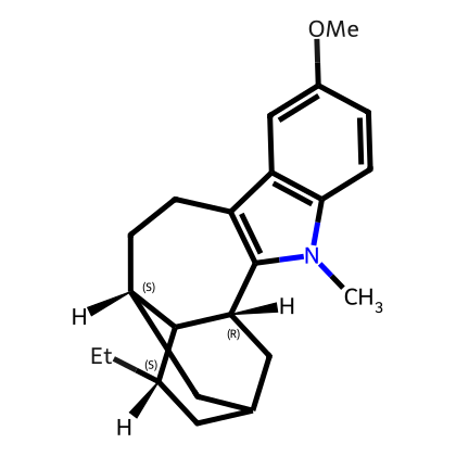 CC[C@H]1CC2C[C@@H]3CCc4c(n(C)c5ccc(OC)cc45)[C@H](C2)C13